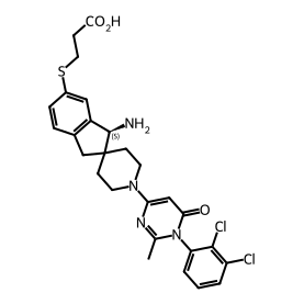 Cc1nc(N2CCC3(CC2)Cc2ccc(SCCC(=O)O)cc2[C@H]3N)cc(=O)n1-c1cccc(Cl)c1Cl